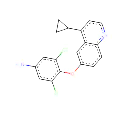 Nc1cc(Cl)c(Oc2ccc3nccc(C4CC4)c3c2)c(Cl)c1